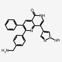 CCCn1cc(-c2c[nH]c(=O)c3cc(-c4ccccc4)c(-c4ccc(CN)cc4)nc23)cn1